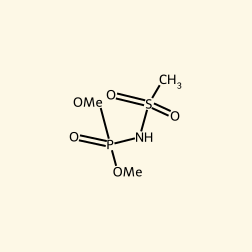 COP(=O)(NS(C)(=O)=O)OC